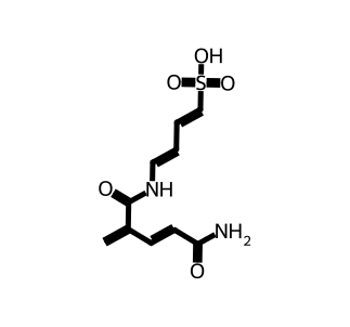 C=C(C=CC(N)=O)C(=O)NC=CC=CS(=O)(=O)O